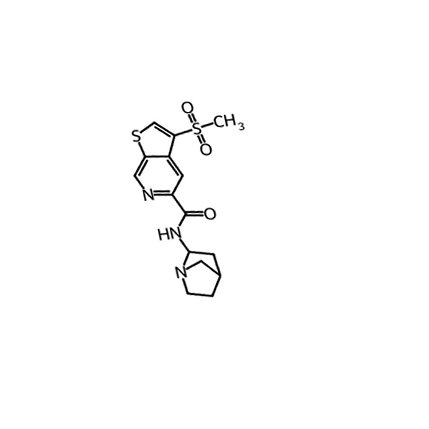 CS(=O)(=O)c1csc2cnc(C(=O)NC3CC4CCN3C4)cc12